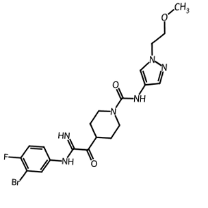 COCCn1cc(NC(=O)N2CCC(C(=O)C(=N)Nc3ccc(F)c(Br)c3)CC2)cn1